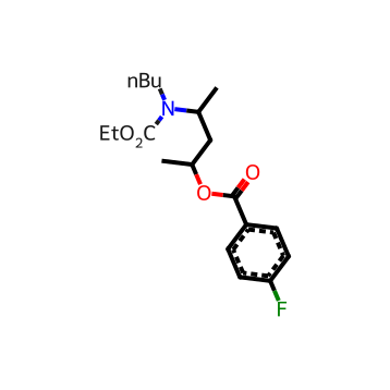 CCCCN(C(=O)OCC)C(C)CC(C)OC(=O)c1ccc(F)cc1